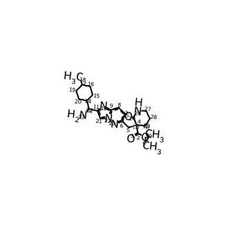 COC(=O)[C@]1(Cc2ccc3nc([C@@H](N)C4CCC(C)CC4)cn3n2)C(=O)NCC[C@@H]1C